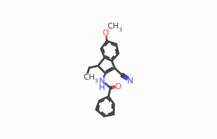 CCC1C(NC(=O)c2ccccc2)=C(C#N)c2ccc(OC)cc21